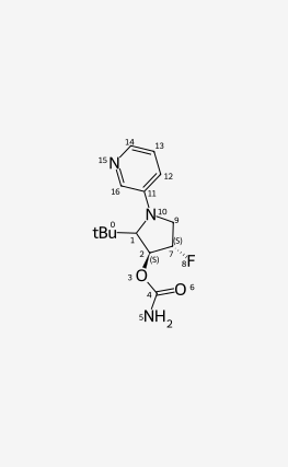 CC(C)(C)C1[C@H](OC(N)=O)[C@@H](F)CN1c1cccnc1